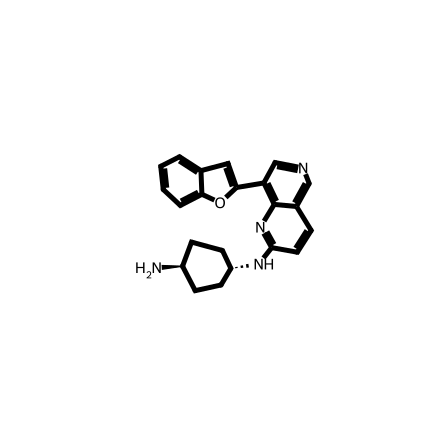 N[C@H]1CC[C@H](Nc2ccc3cncc(-c4cc5ccccc5o4)c3n2)CC1